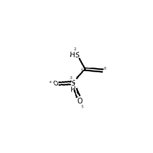 C=C(S)[SH](=O)=O